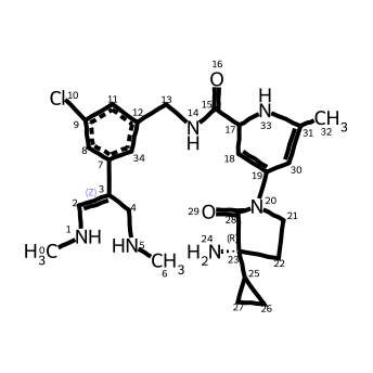 CN/C=C(\CNC)c1cc(Cl)cc(CNC(=O)C2C=C(N3CC[C@@](N)(C4CC4)C3=O)C=C(C)N2)c1